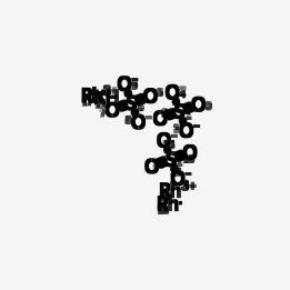 O=S(=O)([O-])[O-].O=S(=O)([O-])[O-].O=S(=O)([O-])[O-].[KH].[Rh+3].[Rh+3].[Rh]